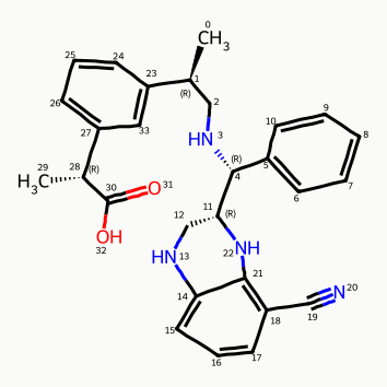 C[C@@H](CN[C@H](c1ccccc1)[C@H]1CNc2cccc(C#N)c2N1)c1cccc([C@@H](C)C(=O)O)c1